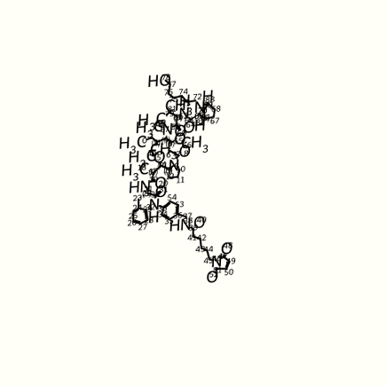 CC[C@H](C)[C@@H]([C@@H](CC(=O)N1CCC[C@H]1[C@H](OC)[C@@H](C)C(=O)N[C@@H](Cc1ccccc1)C(=O)Nc1ccc(CNC(=O)CCCCCN2C(=O)C=CC2=O)cc1)OC)N(C)C(=O)[C@@H](NC(=O)[C@@H]1[C@H]2CC[C@H](C2)N1CCCCCCO)C(C)C